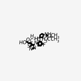 Cc1c(C(=O)O)sc2ncnc(Nc3ccc(F)cc3O[C@H]3CC[C@H](NC(=O)OC(C)(C)C)C3)c12